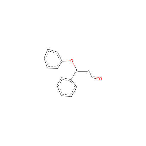 O=CC=C(Oc1ccccc1)c1ccccc1